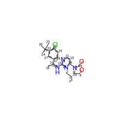 CC(C)[C@H]1COC(=O)N1c1ccnc(N[C@@H](C)c2ccc(Cl)c(C(C)(C)C)c2)n1